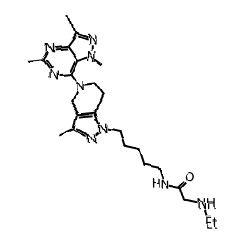 CCNCC(=O)NCCCCCn1nc(C)c2c1CCN(c1nc(C)nc3c(C)nn(C)c13)C2